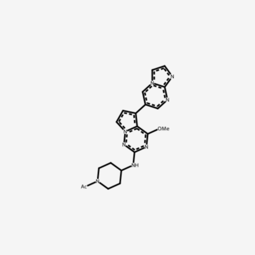 COc1nc(NC2CCN(C(C)=O)CC2)nn2ccc(-c3cnc4nccn4c3)c12